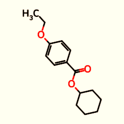 CCOc1ccc(C(=O)OC2CCCCC2)cc1